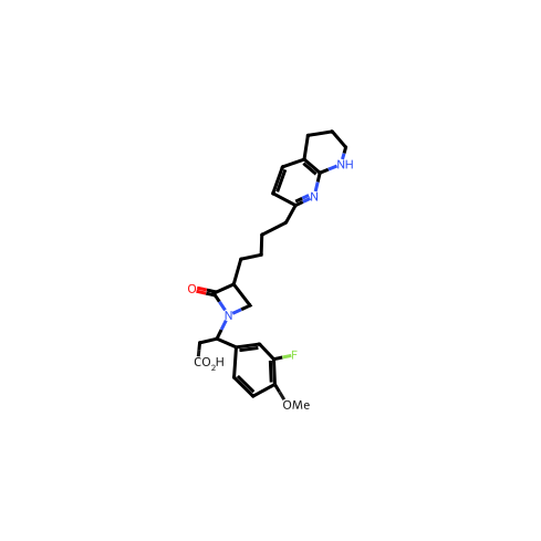 COc1ccc(C(CC(=O)O)N2CC(CCCCc3ccc4c(n3)NCCC4)C2=O)cc1F